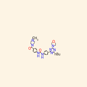 CCCCc1nc(-c2ccc(NC(=O)Nc3ccc(C(=O)N4CCN(C)CC4)cc3)cc2)nc(N2CCOCC2)n1